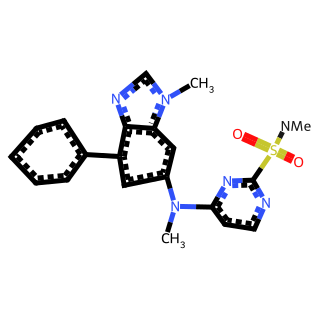 CNS(=O)(=O)c1nccc(N(C)c2cc(-c3ccccc3)c3ncn(C)c3c2)n1